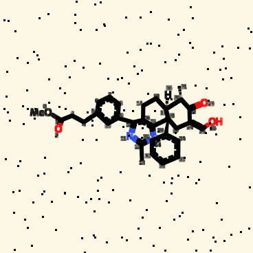 COC(=O)CCc1cccc(-c2nc(C)nc3c2CC[C@H]2[C@H](C)C(=O)C(=CO)C[C@]32c2ccccc2)c1